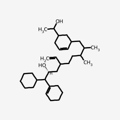 C=CC(CCC(C)C(C)CC1C=CCC(C(C)O)C1)C[C@@H](O)C(C1=CCCCC1)C1CCCCC1